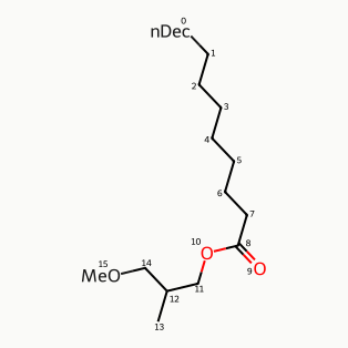 CCCCCCCCCCCCCCCCCC(=O)OCC(C)COC